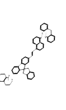 C1=CC2=C(CC1)N(c1ccc3c(c1)C1(Cc4ccccc4C1)c1cc(/C=C/c4cccc5c(N6c7ccccc7Cc7ccccc76)cccc45)ccc1-3)CCC2